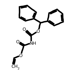 C=COC(=O)NC(=O)OC(c1ccccc1)c1ccccc1